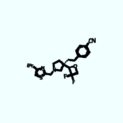 CC(C)c1csc(CN2CC[C@@](CCc3ccc(C#N)cc3)([C@H]3OCC3(F)F)C2)n1